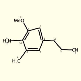 COc1cc(CCC#N)cc(C)c1N